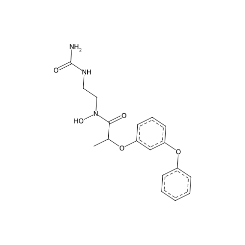 CC(Oc1cccc(Oc2ccccc2)c1)C(=O)N(O)CCNC(N)=O